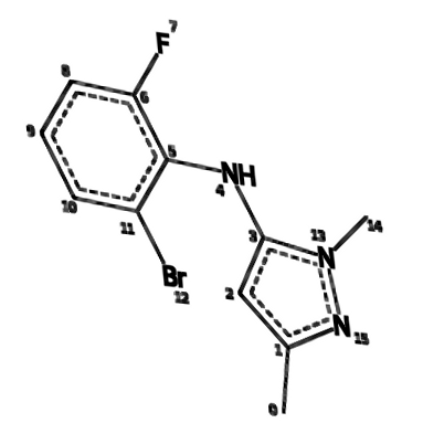 Cc1cc(Nc2c(F)cccc2Br)n(C)n1